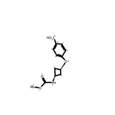 CC(C)(C)OC(=O)N[C@H]1C[C@@H](Oc2ccc(C(=O)O)cc2)C1